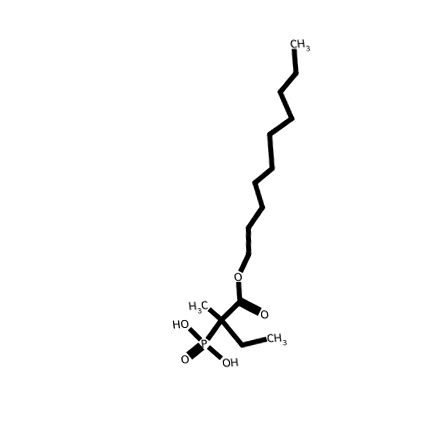 CCCCCCCCCCOC(=O)C(C)(CC)P(=O)(O)O